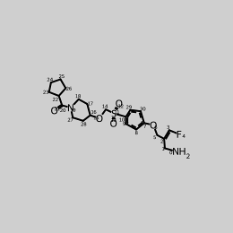 NCC(=CF)COc1ccc(S(=O)(=O)COC2CCN(C(=O)C3CCCC3)CC2)cc1